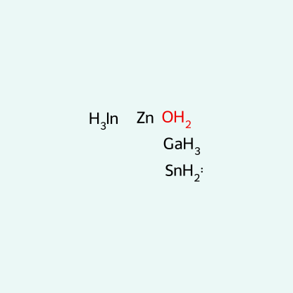 O.[GaH3].[InH3].[SnH2].[Zn]